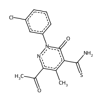 CC(=O)c1nn(-c2cccc(Cl)c2)c(=O)c(C(N)=S)c1C